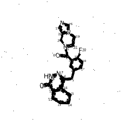 O=C(c1cc(Cc2n[nH]c(=O)c3ccccc23)ccc1F)N1CCn2cncc2C1